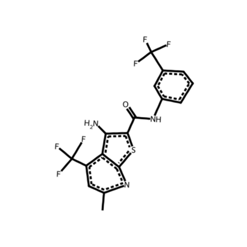 Cc1cc(C(F)(F)F)c2c(N)c(C(=O)Nc3cccc(C(F)(F)F)c3)sc2n1